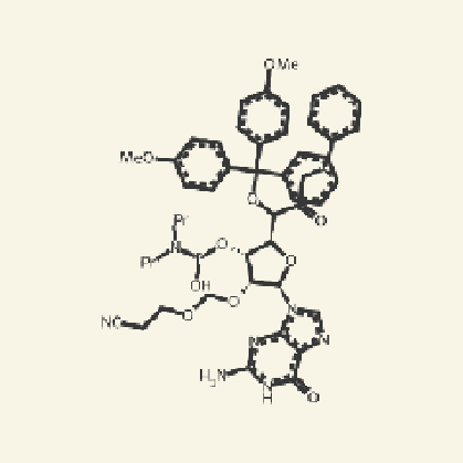 COc1ccc(C(OC(C(=O)COc2ccccc2)[C@H]2O[C@@H](n3cnc4c(=O)[nH]c(N)nc43)[C@H](OCOCCC#N)[C@@H]2OP(O)N(C(C)C)C(C)C)(c2ccccc2)c2ccc(OC)cc2)cc1